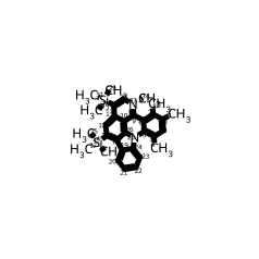 Cc1cc(C)c2c(c1C)c1c3c(cc([Si](C)(C)C)c4c5ccccc5n2c43)c([Si](C)(C)C)c[n+]1C